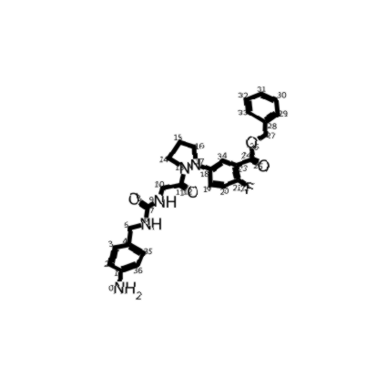 Nc1ccc(CNC(=O)NCC(=O)N2CCCN2c2ccc(F)c(C(=O)OCc3ccccc3)c2)cc1